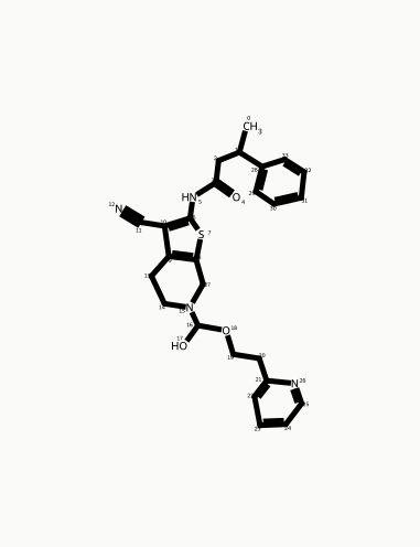 CC(CC(=O)Nc1sc2c(c1C#N)CCN(C(O)OCCc1ccccn1)C2)c1ccccc1